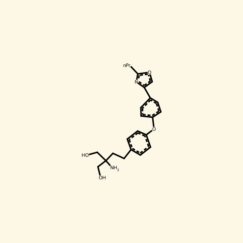 CCCc1nc(-c2ccc(Oc3ccc(CCC(N)(CO)CO)cc3)cc2)co1